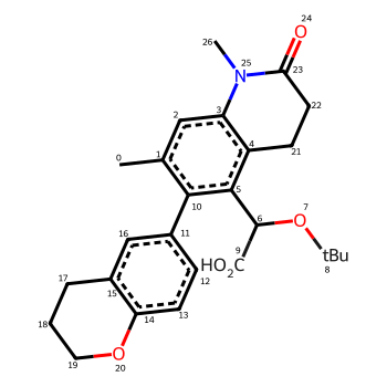 Cc1cc2c(c(C(OC(C)(C)C)C(=O)O)c1-c1ccc3c(c1)CCCO3)CCC(=O)N2C